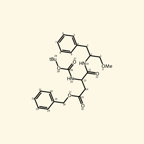 COCC(Cc1ccccc1)NC(=O)C(CC(=O)OCc1ccccc1)NC(=O)OC(C)(C)C